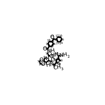 C[C@@H](NC(=O)C1CC2(CN1C(=O)CNC(=O)c1ccc(C(=O)c3ccccc3)cc1)OCCO2)c1cc(C(=N)N)cs1